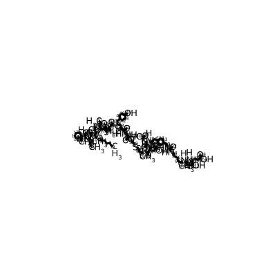 CCCCCCOCN(C(=O)[C@@H](NC(=O)[C@H]1CCCCN1C)C(C)CC)[C@H](C[C@@H](OC(C)=O)c1nc(C(=O)N[C@@H](Cc2ccc(O)cc2)C[C@H](C)C(=O)NNC(=O)OCCSSC[C@@H](C)NC(=O)[C@H](CC(=O)O)NC(=O)[C@H](CC(=O)O)NC(=O)Cc2ccc(CNC(=O)NCCCC[C@@H](C)NC(=O)N[C@@H](CCC(=O)O)C(=O)O)cc2)cs1)C(C)C